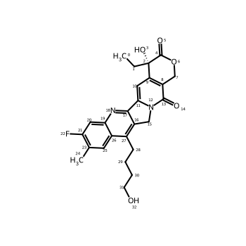 CC[C@@]1(O)C(=O)OCc2c1cc1n(c2=O)Cc2c-1nc1cc(F)c(C)cc1c2CCCCO